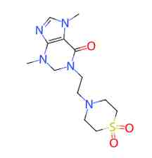 CN1CN(CCN2CCS(=O)(=O)CC2)C(=O)c2c1ncn2C